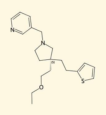 CCOCC[C@]1(CCc2cccs2)CCN(Cc2cccnc2)C1